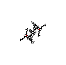 CC(C)CCCC(C)CCC1(CCC(C)CCCC(C)C)OC2=C(CS(Br)=C2)c2sc(-c3c(F)c(F)c(-c4cc5c(s4)C4=C(C=S(Br)C4)OC5(CCC(C)CCCC(C)C)CCC(C)CCCC(C)C)c4nsnc34)cc21